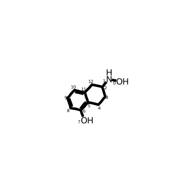 ONC1CCc2c(O)cccc2C1